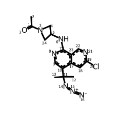 CC(=O)N1CC(Nc2ncc(C(C)(C)N=[N+]=[N-])c3cc(Cl)ncc23)C1